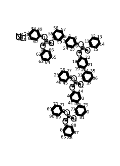 [Cl-].[Cl-].[Ni+2].c1ccc(OP(Oc2ccccc2)Oc2ccccc2)cc1.c1ccc(OP(Oc2ccccc2)Oc2ccccc2)cc1.c1ccc(OP(Oc2ccccc2)Oc2ccccc2)cc1.c1ccc(OP(Oc2ccccc2)Oc2ccccc2)cc1